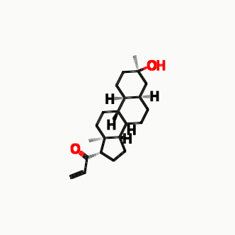 C=CC(=O)[C@H]1CC[C@H]2[C@@H]3CC[C@@H]4C[C@](C)(O)CC[C@@H]4[C@H]3CC[C@]12C